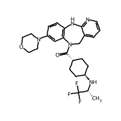 C[C@@H](N[C@H]1CC[C@H](C(=O)N2Cc3cccnc3Nc3ccc(N4CCOCC4)cc32)CC1)C(F)(F)F